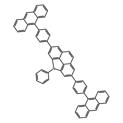 c1ccc(-n2c3cc(-c4ccc(-c5c6ccccc6cc6ccccc56)cc4)cc4ccc5cc(-c6ccc(-c7c8ccccc8cc8ccccc78)cc6)cc2c5c43)cc1